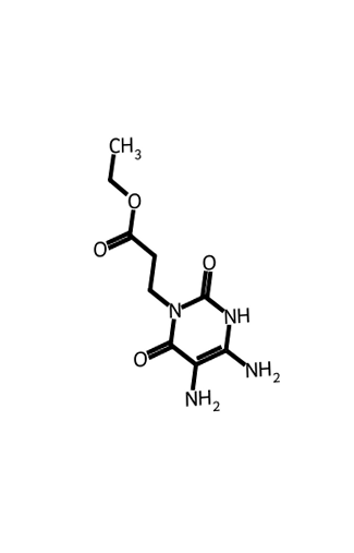 CCOC(=O)CCn1c(=O)[nH]c(N)c(N)c1=O